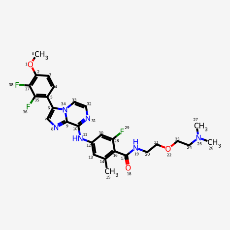 COc1ccc(-c2cnc3c(Nc4cc(C)c(C(=O)NCCOCCN(C)C)c(F)c4)nccn23)c(F)c1F